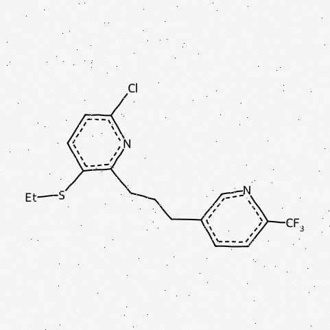 CCSc1ccc(Cl)nc1CCCc1ccc(C(F)(F)F)nc1